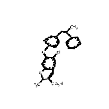 CC(Cc1ccc(Oc2cc3c(cc2Cl)C=C(C(=O)O)C(C(F)(F)F)O3)cc1)c1ccccc1